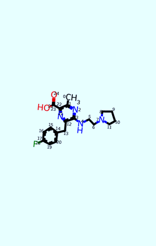 Cc1nc(NCCN2CCCC2)c(Cc2ccc(F)cc2)nc1C(=O)O